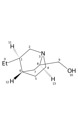 CC[C@H]1CN2CC[C@H]1C[C@@H]2CO